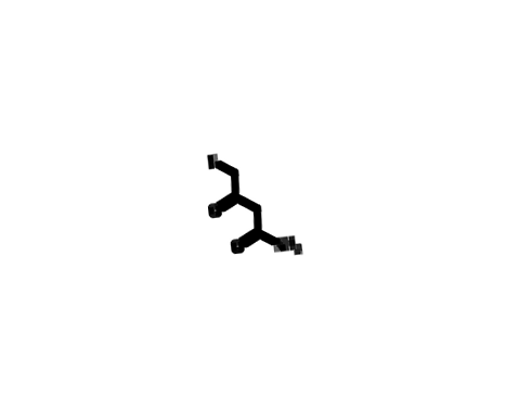 NC(=O)CC(=O)CF